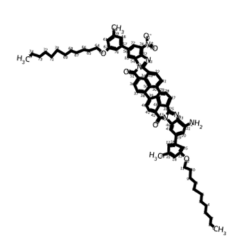 CCCCCCCCCCCCOc1cc(C)cc(-c2cc(N)c3nc4c5ccc6c7ccc8c9c(ccc(c%10ccc(c(=O)n4c3c2)c5c%106)c79)c(=O)n2c3cc(-c4cc(C)cc(OCCCCCCCCCCCC)c4)cc([N+](=O)[O-])c3nc82)c1